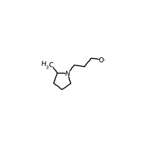 CC1CCCN1CCC[O]